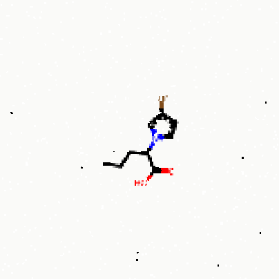 CCCC(C(=O)O)n1ccc(Br)c1